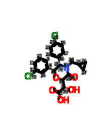 O=C(O)[C@@H](O)[C@H]1O[C@H](c2cccc(Cl)c2)[C@H](c2ccc(Cl)cc2)N(CC2CC2)C1=O